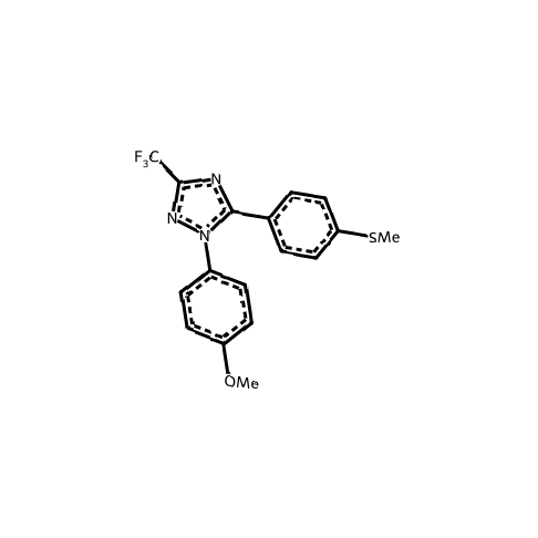 COc1ccc(-n2nc(C(F)(F)F)nc2-c2ccc(SC)cc2)cc1